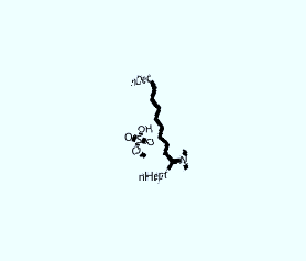 CCCCCCCCCCCCCCCCCCC(CCCCCCC)N(C)C.COS(=O)(=O)O